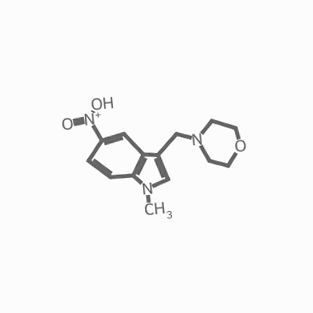 Cn1cc(CN2CCOCC2)c2cc([N+](=O)O)ccc21